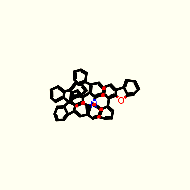 c1ccc(-c2ccccc2-c2c(-c3ccccc3)cccc2N(c2ccc3c(c2)C2(c4ccccc4-c4ccccc42)c2ccccc2-3)c2ccccc2-c2cccc3c2oc2ccccc23)cc1